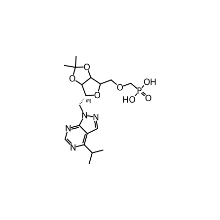 CC(C)c1ncnc2c1cnn2C[C@H]1OC(COCP(=O)(O)O)C2OC(C)(C)OC21